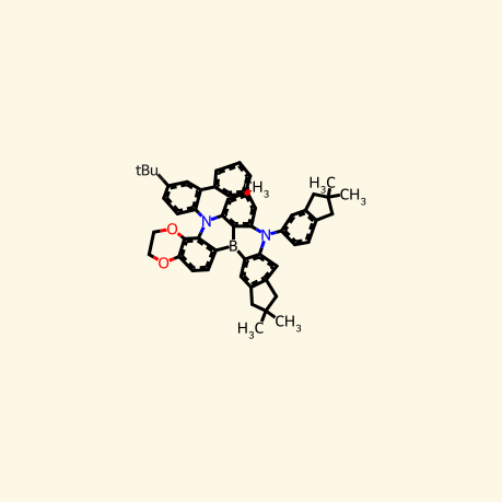 Cc1cc2c3c(c1)N(c1ccc(C(C)(C)C)cc1-c1ccccc1)c1c(ccc4c1OCCO4)B3c1cc3c(cc1N2c1ccc2c(c1)CC(C)(C)C2)CC(C)(C)C3